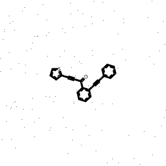 O=C(C#Cc1cccs1)c1ccccc1C#Cc1ccccc1